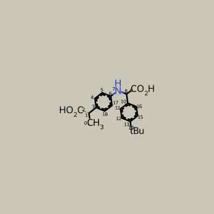 C[C@H](C(=O)O)c1ccc(NC(C(=O)O)c2ccc(C(C)(C)C)cc2)cc1